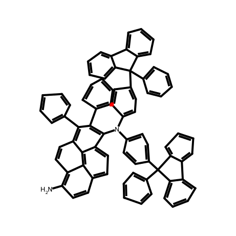 Nc1ccc2ccc3c(N(c4ccc(C5(c6ccccc6)c6ccccc6-c6ccccc65)cc4)c4ccc(C5(c6ccccc6)c6ccccc6-c6ccccc65)cc4)c(-c4ccccc4)c(-c4ccccc4)c4ccc1c2c43